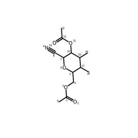 CC(=O)OCC1OC(C#N)C(OC(C)=O)C(C)C1C